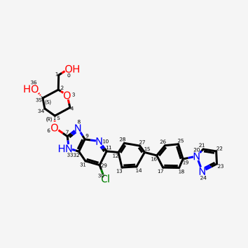 OCC1OC[C@H](Oc2nc3nc(-c4ccc(-c5ccc(-n6cccn6)cc5)cc4)c(Cl)cc3[nH]2)C[C@@H]1O